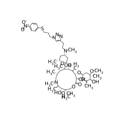 CC[C@H]1OC(=O)[C@H](C)[C@@H](O[C@H]2C[C@@](C)(OC)[C@@H](O)[C@H](C)O2)[C@H](C)[C@@H](O[C@H]2C[C@@H](N(C)CCc3cn(CCCSc4ccc([N+](=O)[O-])cc4)nn3)C[C@@H](C)O2)[C@](C)(O)C[C@@H](C)CN(C)[C@H](C)[C@@H](O)[C@]1(C)O